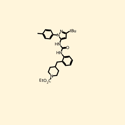 CCOC(=O)N1CCC(Cc2ccccc2NC(=O)Nc2cc(C(C)(C)C)nn2-c2ccc(C)cc2)CC1